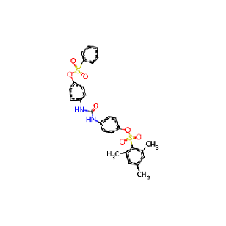 Cc1cc(C)c(S(=O)(=O)Oc2ccc(NC(=O)Nc3ccc(OS(=O)(=O)c4ccccc4)cc3)cc2)c(C)c1